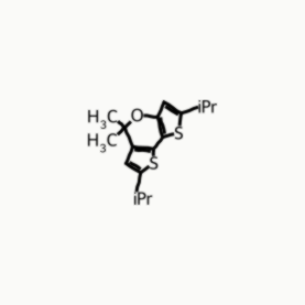 CC(C)c1cc2c(s1)-c1sc(C(C)C)cc1C(C)(C)O2